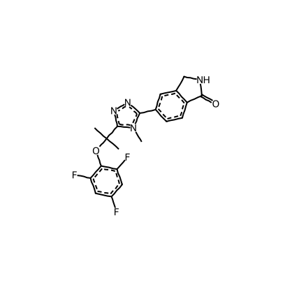 Cn1c(-c2ccc3c(c2)CNC3=O)nnc1C(C)(C)Oc1c(F)cc(F)cc1F